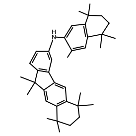 Cc1cc2c(cc1Nc1ccc3c(c1)-c1cc4c(cc1C3(C)C)C(C)(C)CCC4(C)C)C(C)(C)CCC2(C)C